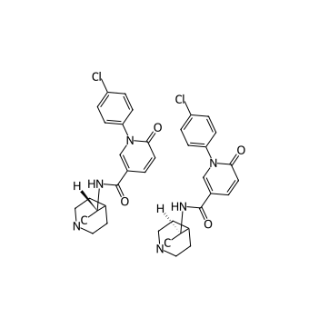 O=C(N[C@@H]1CN2CCC1CC2)c1ccc(=O)n(-c2ccc(Cl)cc2)c1.O=C(N[C@H]1CN2CCC1CC2)c1ccc(=O)n(-c2ccc(Cl)cc2)c1